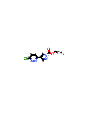 CCOC(=O)n1cc(-c2ccc(Cl)nn2)cn1